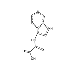 O=C(O)C(=O)Nc1c[nH]c2cnccc12